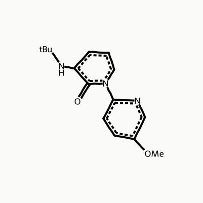 COc1ccc(-n2cccc(NC(C)(C)C)c2=O)nc1